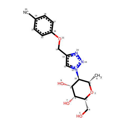 C[C@@H]1O[C@H](CO)[C@H](O)[C@H](O)[C@H]1n1cc(COc2ccc(C#N)cc2)nn1